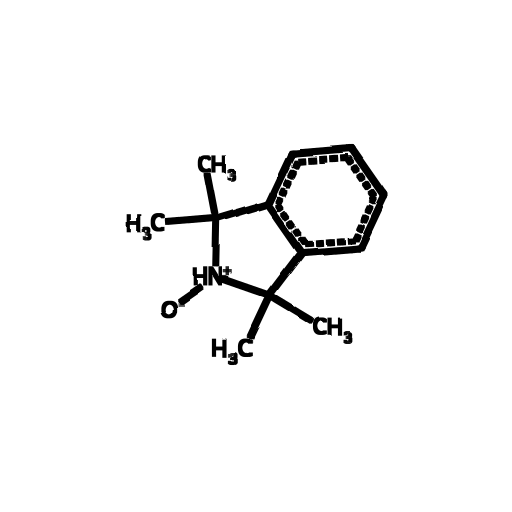 CC1(C)c2ccccc2C(C)(C)[NH+]1[O-]